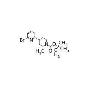 CC1C=C(c2cccc(Br)n2)CCN1C(=O)OC(C)(C)C